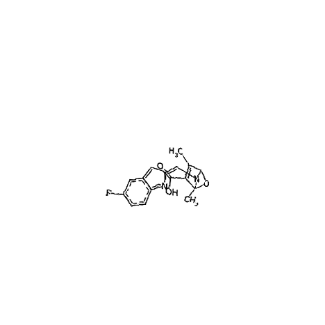 CC1=C(C(=O)O)C2(C)OC1N2/C=C1/C=c2cc(F)ccc2=N1